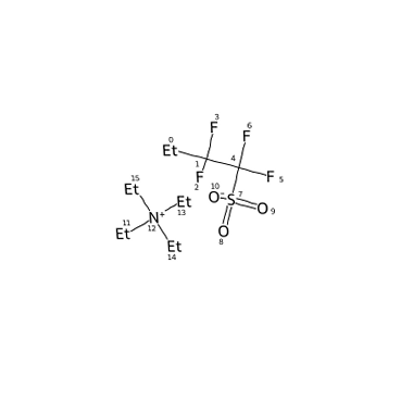 CCC(F)(F)C(F)(F)S(=O)(=O)[O-].CC[N+](CC)(CC)CC